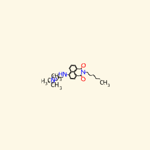 CCCCCCN1C(=O)c2cccc3c(NCCC[N+](C)(C)C)ccc(c23)C1=O